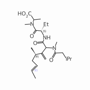 C=C(C(C(=O)N[C@@H](CC)C(=O)N(C)C(C)C(=O)O)N(C)C(=O)CC(C)C)[C@H](C)C/C=C/C